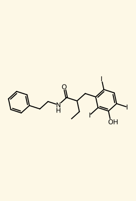 CCC(Cc1c(I)cc(I)c(O)c1I)C(=O)NCCc1ccccc1